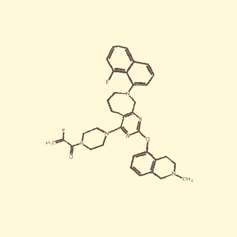 C=C(F)C(=O)N1CCN(c2nc(Oc3cccc4c3CCN(C)C4)nc3c2CCCN(c2cccc4cccc(F)c24)C3)CC1